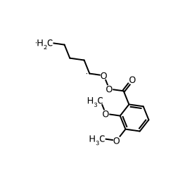 [CH2]CCC[CH]OOC(=O)c1cccc(OC)c1OC